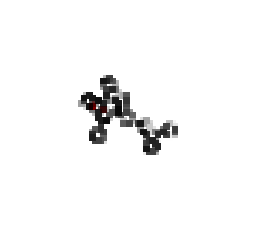 c1ccc(-c2cc(-c3ccccc3)cc(-n3c4ccc(-c5ccc6c(c5)c5ccccc5n6-c5ccccc5)cc4c4ccc5c6ccccc6n(-c6ccccc6)c5c43)c2)cc1